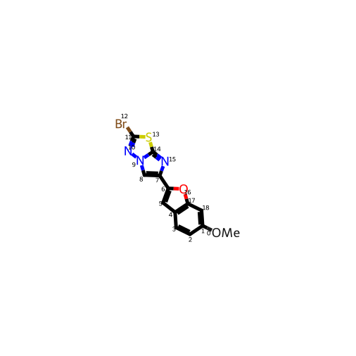 COc1ccc2cc(-c3cn4nc(Br)sc4n3)oc2c1